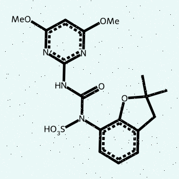 COc1cc(OC)nc(NC(=O)N(c2cccc3c2OC(C)(C)C3)S(=O)(=O)O)n1